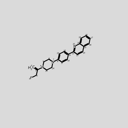 C=C(CF)N1CCN(c2ccc(-c3ccc4ccccc4n3)cc2)CC1